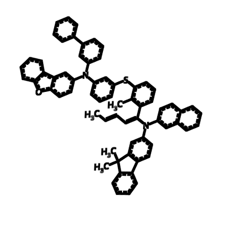 C/C=C/C=C(\c1cccc(Sc2cccc(N(c3cccc(-c4ccccc4)c3)c3ccc4oc5ccccc5c4c3)c2)c1C)N(c1ccc2c(c1)C(C)(C)c1ccccc1-2)c1ccc2ccccc2c1